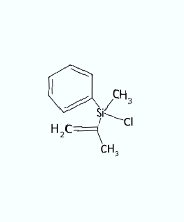 C=C(C)[Si](C)(Cl)c1ccccc1